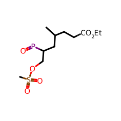 CCOC(=O)CCC(C)CC(COS(C)(=O)=O)P=O